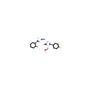 Cc1ccccc1-c1noc(Cn2nc(-c3ccc(Cl)cc3)n(C[C@H](O)C(F)(F)F)c2=O)n1